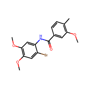 COc1cc(C(=O)Nc2cc(OC)c(OC)cc2Br)ccc1C